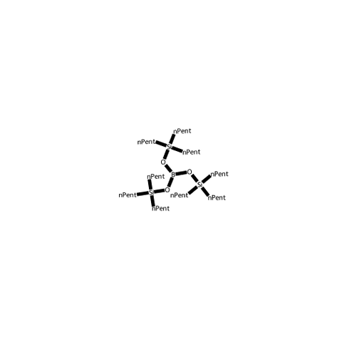 CCCCC[Si](CCCCC)(CCCCC)OB(O[Si](CCCCC)(CCCCC)CCCCC)O[Si](CCCCC)(CCCCC)CCCCC